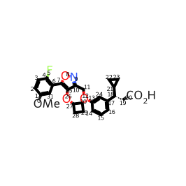 COc1ccc(F)c(-c2onc(COc3cccc([C@@H](CC(=O)O)C4CC4)c3)c2OC2CCC2)c1